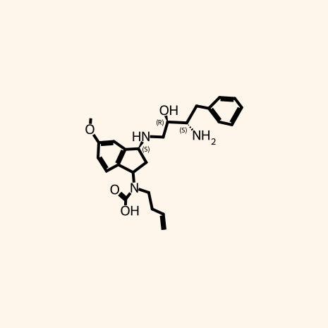 C=CCCN(C(=O)O)C1C[C@H](NC[C@@H](O)[C@@H](N)Cc2ccccc2)c2cc(OC)ccc21